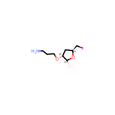 B[C@@H]1O[C@H](CI)C[C@H]1OCCCN